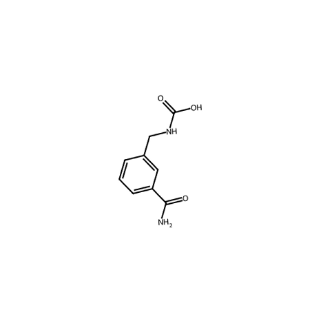 NC(=O)c1cccc(CNC(=O)O)c1